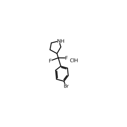 Cl.FC(F)(c1ccc(Br)cc1)C1CCNC1